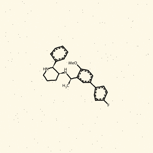 COc1ccc(-c2ccc(F)cc2)cc1[C@@H](C)N[C@H]1CCCN[C@H]1c1ccccc1